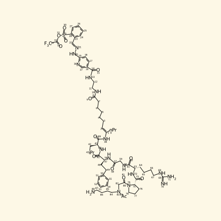 CCC/C(=C\CCCCCC(=O)NCCNC(=O)c1ccc(N/N=C/c2ccccc2S(=O)(=O)OC(=O)C(F)(F)F)nc1)NC(=O)[C@H](CC(C)C)NC(=O)[C@H](CCc1ccccc1)NC(=O)CNC(=O)[C@H](CCCCNC(=N)N)NC(=O)[C@@H]1CCCN1C(=O)CN(CCCCN)C(C)=O